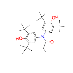 CCC(=O)N(c1cc(C(C)(C)C)c(O)c(C(C)(C)C)c1)c1cc(C(C)(C)C)c(O)c(C(C)(C)C)c1